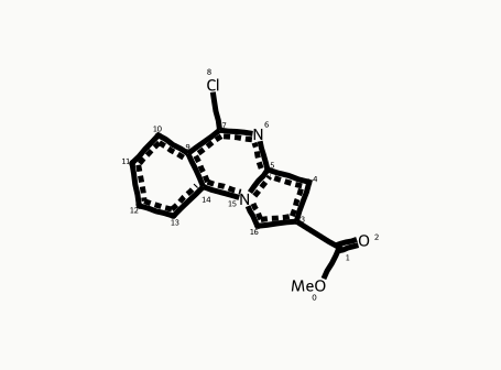 COC(=O)c1cc2nc(Cl)c3ccccc3n2c1